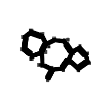 C=C1/C=c2/cccc/c2=N/CC2=C(N=C=CC=C2)S1